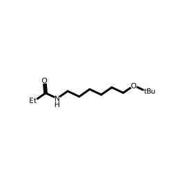 CCC(=O)NCCCCCCOC(C)(C)C